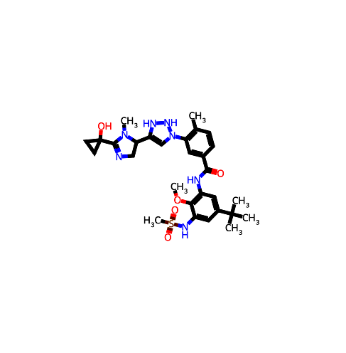 COc1c(NC(=O)c2ccc(C)c(N3C=C(C4CN=C(C5(O)CC5)N4C)NN3)c2)cc(C(C)(C)C)cc1NS(C)(=O)=O